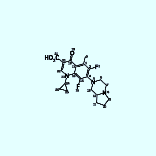 Cc1c(F)c(N2CCN3CCCC3C2)c(F)c2c1c(=O)c(C(=O)O)cn2C1CC1